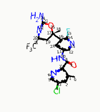 Cc1cc(Cl)cnc1C(=O)Nc1cnc(F)c([C@]2(C)C[C@@H](C(F)(F)F)N=C(N)O2)c1